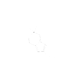 CCOC(=O)c1cc2n(n1)CC(C)(C)OC2